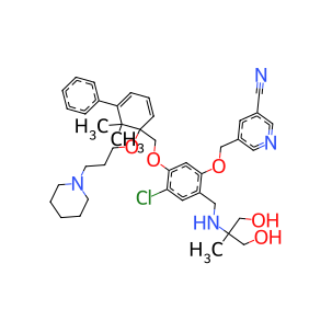 CC(CO)(CO)NCc1cc(Cl)c(OCC2(OCCCN3CCCCC3)C=CC=C(c3ccccc3)C2(C)C)cc1OCc1cncc(C#N)c1